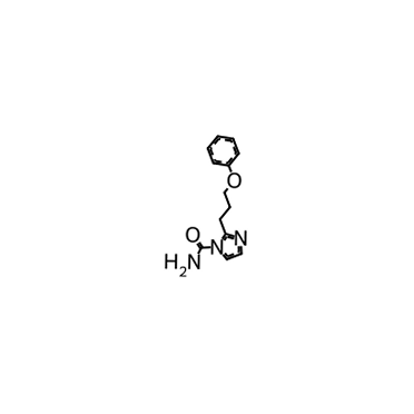 NC(=O)n1ccnc1CCCOc1ccccc1